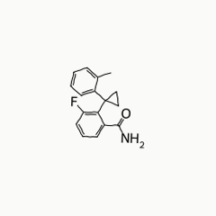 Cc1ccccc1C1(c2c(F)cccc2C(N)=O)CC1